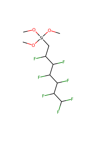 CO[Si](CC(F)C(F)C(F)C(F)C(F)C(F)F)(OC)OC